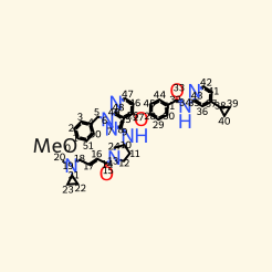 COc1ccc(Cn2nc(NC3CCN(C(=O)C=CCN(C)C4CC4)C3)c3c(Oc4ccc(C(=O)Nc5cc(C6CC6)ccn5)cc4)ccnc32)cc1